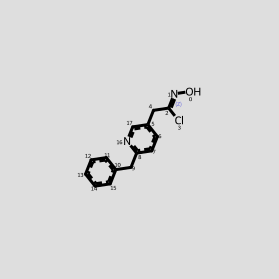 O/N=C(\Cl)Cc1ccc(Cc2ccccc2)nc1